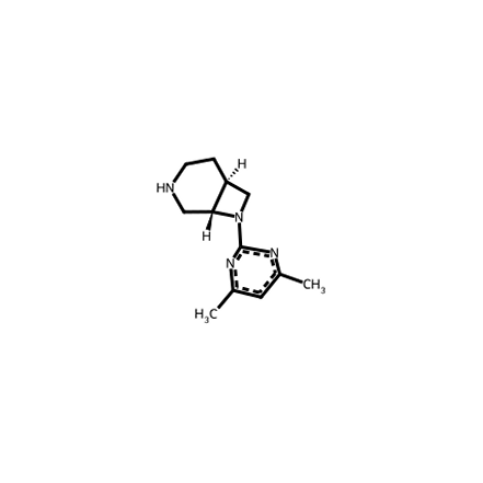 Cc1cc(C)nc(N2C[C@@H]3CCNC[C@H]32)n1